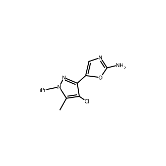 Cc1c(Cl)c(-c2cnc(N)o2)nn1C(C)C